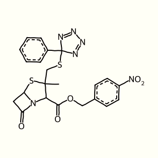 CC1(CSC2(c3ccccc3)N=NN=N2)SC2CC(=O)N2C1C(=O)OCc1ccc([N+](=O)[O-])cc1